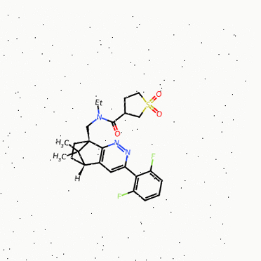 CCN(C[C@@]12CC[C@@H](c3cc(-c4c(F)cccc4F)nnc31)C2(C)C)C(=O)C1CCS(=O)(=O)C1